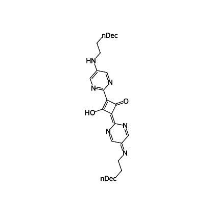 CCCCCCCCCCCCN=C1C=NC(=C2C(=O)C(c3ncc(NCCCCCCCCCCCC)cn3)=C2O)N=C1